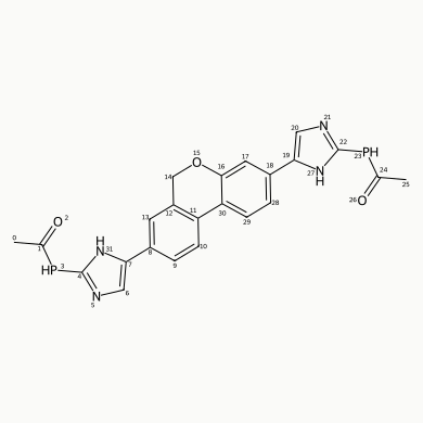 CC(=O)Pc1ncc(-c2ccc3c(c2)COc2cc(-c4cnc(PC(C)=O)[nH]4)ccc2-3)[nH]1